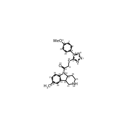 COc1ccc(-n2nnnc2SCC(=O)N2c3ccc(C)cc3C3CNCCC32)cc1